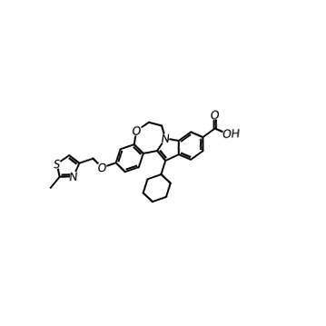 Cc1nc(COc2ccc3c(c2)OCCn2c-3c(C3CCCCC3)c3ccc(C(=O)O)cc32)cs1